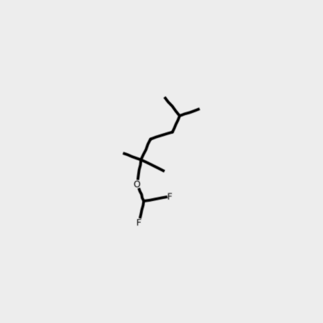 CC(C)CCC(C)(C)OC(F)F